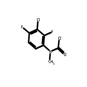 CN(C(=O)Cl)c1ccc(F)c(Cl)c1F